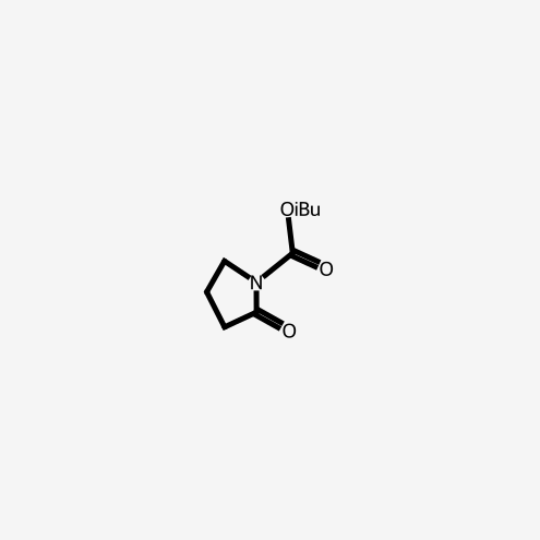 CC(C)COC(=O)N1CCCC1=O